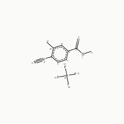 COC(=O)c1ccc([N+]#N)c(C)c1.F[B-](F)(F)F